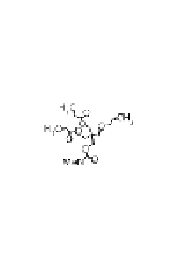 C=CCOCC(COC(=O)C=C)(COC(=O)C=C)COC(=O)NC